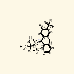 CC(C)(C)[S@@+]([O-])/N=C(/c1ccc(C(F)(F)F)c(F)c1)c1ncccc1F